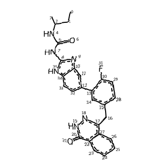 CCC(C)NC(=O)Nc1nc2cc(-c3cc(Cc4n[nH]c(=O)c5ccccc45)ccc3F)ccc2[nH]1